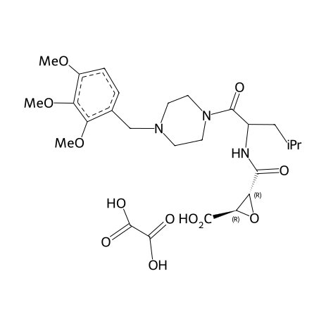 COc1ccc(CN2CCN(C(=O)C(CC(C)C)NC(=O)[C@@H]3O[C@H]3C(=O)O)CC2)c(OC)c1OC.O=C(O)C(=O)O